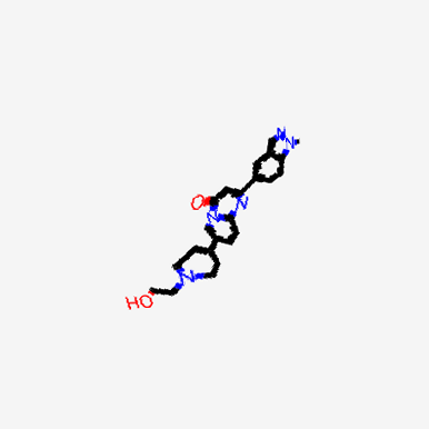 Cn1ncc2cc(-c3cc(=O)n4cc(C5=CCN(CCO)CC5)ccc4n3)ccc21